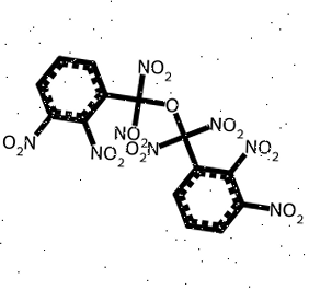 O=[N+]([O-])c1cccc(C(OC(c2cccc([N+](=O)[O-])c2[N+](=O)[O-])([N+](=O)[O-])[N+](=O)[O-])([N+](=O)[O-])[N+](=O)[O-])c1[N+](=O)[O-]